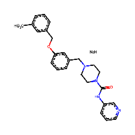 O=C(O)c1cccc(COc2cccc(CN3CCN(C(=O)Nc4cccnc4)CC3)c2)c1.[NaH]